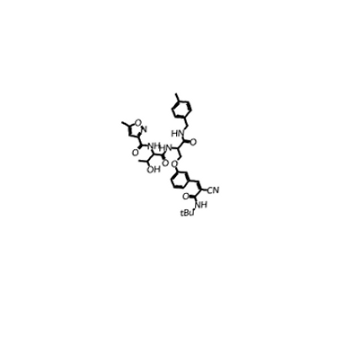 Cc1ccc(CNC(=O)C(COc2cccc(C=C(C#N)C(=O)NC(C)(C)C)c2)NC(=O)C(NC(=O)c2cc(C)on2)C(C)O)cc1